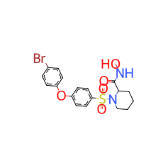 O=C(NO)C1CCCCN1S(=O)(=O)c1ccc(Oc2ccc(Br)cc2)cc1